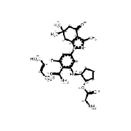 Cc1nn(-c2cc(F)c(C(N)=O)c(N[C@H]3CCC[C@@H]3OC(=O)CN)c2)c2c1C(=O)CC(C)(C)C2.O=C(O)C=CC(=O)O